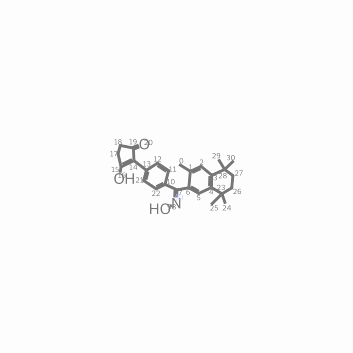 Cc1cc2c(cc1/C(=N/O)c1ccc(C3=C(O)CCC3=O)cc1)C(C)(C)CCC2(C)C